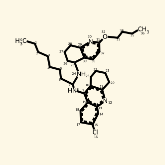 CCCCCCCC(Nc1c2c(nc3cc(Cl)ccc13)CCCC2)NC1CCCc2nc(OCCCC)ccc21